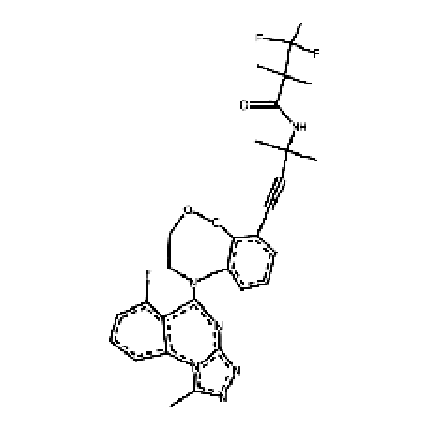 Cc1nnc2nc(N3CCOCc4c(C#CC(C)(C)NC(=O)C(C)(C)C(C)(F)F)cccc43)c3c(F)cccc3n12